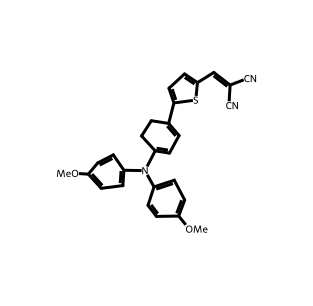 COc1ccc(N(C2=CC=C(c3ccc(C=C(C#N)C#N)s3)CC2)c2ccc(OC)cc2)cc1